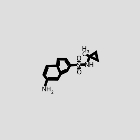 CC1(NS(=O)(=O)c2ccc3ccc(N)cc3c2)CC1